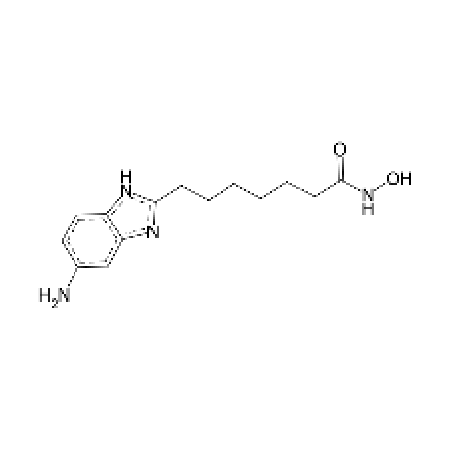 Nc1ccc2[nH]c(CCCCCCC(=O)NO)nc2c1